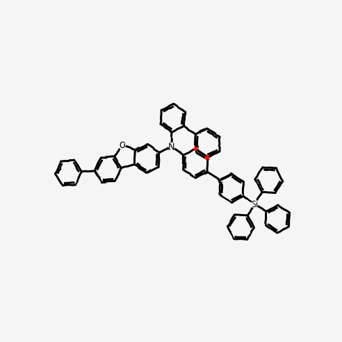 c1ccc(-c2ccc3c(c2)oc2cc(N(c4ccc(-c5ccc([Si](c6ccccc6)(c6ccccc6)c6ccccc6)cc5)cc4)c4ccccc4-c4ccccc4)ccc23)cc1